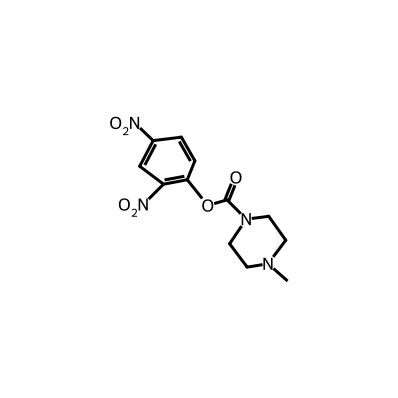 CN1CCN(C(=O)Oc2ccc([N+](=O)[O-])cc2[N+](=O)[O-])CC1